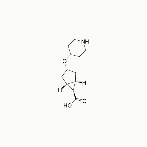 O=C(O)[C@H]1[C@@H]2C[C@H](OC3CCNCC3)C[C@@H]21